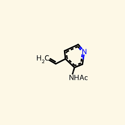 C=Cc1ccncc1NC(C)=O